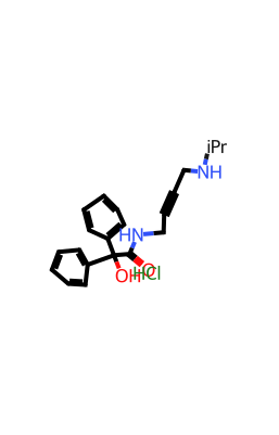 CC(C)NCC#CCNC(=O)C(O)(c1ccccc1)c1ccccc1.Cl